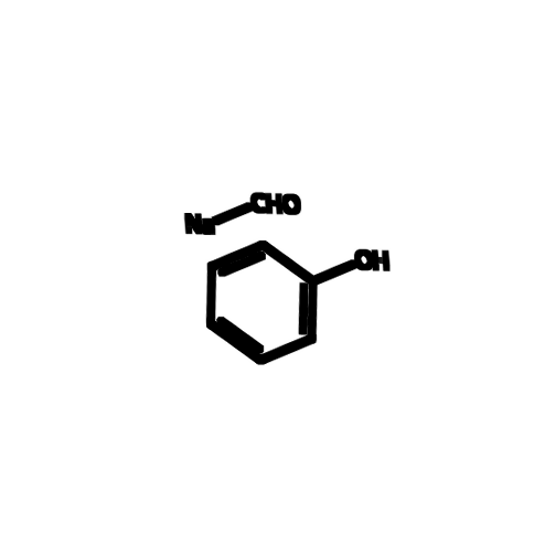 O=[CH][Na].Oc1ccccc1